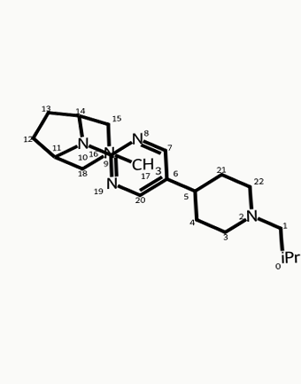 CC(C)CN1CCC(c2cnc(N3C4CCC3CN(C)C4)nc2)CC1